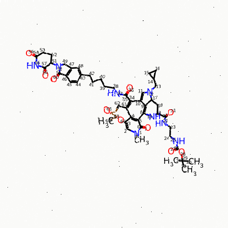 Cn1ccc2c(c1=O)C1=C3C(=CN(CC4CC4)C3CC(C(=O)NCCNC(=O)OC(C)(C)C)N1)C(C(=O)NCCCCCc1ccc3c(c1)CN(C1CCC(=O)NC1=O)C3=O)=C2CS(C)(=O)=O